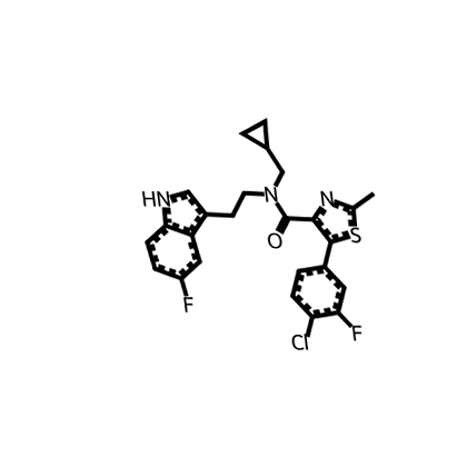 Cc1nc(C(=O)N(CCc2c[nH]c3ccc(F)cc23)CC2CC2)c(-c2ccc(Cl)c(F)c2)s1